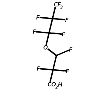 O=C(O)C(F)(F)C(F)OC(F)(F)C(F)(F)C(F)(F)F